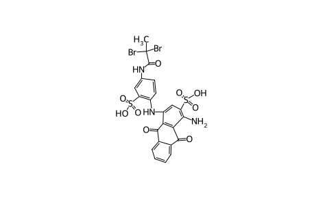 CC(Br)(Br)C(=O)Nc1ccc(Nc2cc(S(=O)(=O)O)c(N)c3c2C(=O)c2ccccc2C3=O)c(S(=O)(=O)O)c1